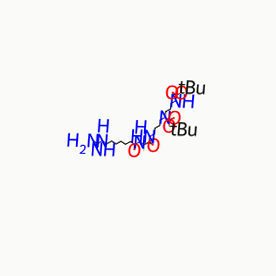 C[C@H](NC(=O)CCCCCCNC(=N)N)C(=O)NCCCCN(CCCNC(=O)OC(C)(C)C)C(=O)OC(C)(C)C